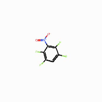 O=[N+]([O-])c1c(F)c(F)cc(F)c1F